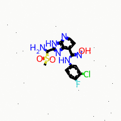 CS(=O)(=O)C(N)c1nc2c(/C(=N\O)Nc3ccc(F)c(Cl)c3)ccnc2[nH]1